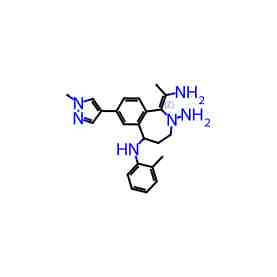 C/C(N)=C1\c2ccc(-c3cnn(C)c3)cc2C(Nc2ccccc2C)CCN1N